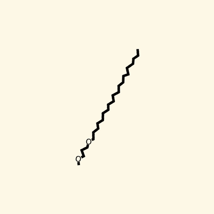 CCCCCCCCCCCCCCCCCCCCOCCCOC